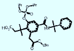 CC(C)OP(=O)(Oc1cc(C(=O)NC(C)(C)c2ccccc2)cc(CC(=O)OC(C)(C)C)c1C(C)(C)CC(=O)O)OC(C)C